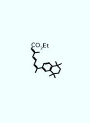 CCOC(=O)/C=C(C)/C=C/C=C(/C)c1ccc2c(c1)C(C)(C)CCC2(C)C